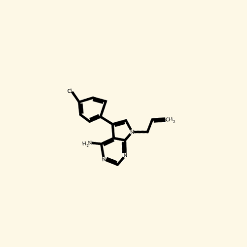 C=CCn1cc(-c2ccc(Cl)cc2)c2c(N)ncnc21